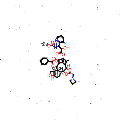 CC(=O)O[C@@]12CO[C@@H]1CC[C@@]1(C)[C@@H]3O[C@H](CN4CC[C@H]4C)O[C@@H]3C3=C(C)[C@@H](OC(=O)[C@H](O)[C@@H](NC(=O)OC(C)(C)C)c4ncccc4F)C[C@@](O)([C@@H](OC(=O)c4ccccc4)[C@@H]12)C3(C)C